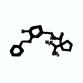 CN(C)C1(C(=O)NCc2ccc(Br)c(OCc3ccccc3)c2)CCCC1